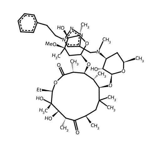 CC[C@H]1OC(=O)[C@H](C)[C@@H](O[C@H]2C[C@@](C)(OC)[C@@H](O)[C@H](C)O2)[C@H](C)[C@@H](O[C@@H]2O[C@H](C)C[C@H](N(C)Cc3cn(CCc4ccccc4)nn3)[C@H]2O)C(C)(C)C[C@@H](C)C(=O)[C@H](C)[C@@H](O)[C@]1(C)O